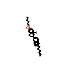 CCCCCCO[C@@H]1CC[C@@H]2CC(C3CCc4cc(CCCCCC)ccc4C3)CCC2C1